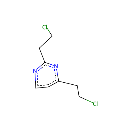 ClCCc1ccnc(CCCl)n1